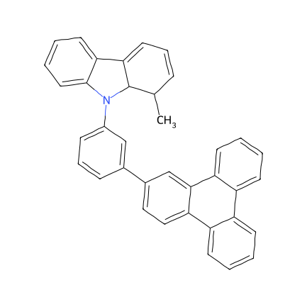 CC1C=CC=C2c3ccccc3N(c3cccc(-c4ccc5c6ccccc6c6ccccc6c5c4)c3)C21